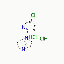 Cl.Cl.Clc1ccc(N2CCN3CCC2C3)nc1